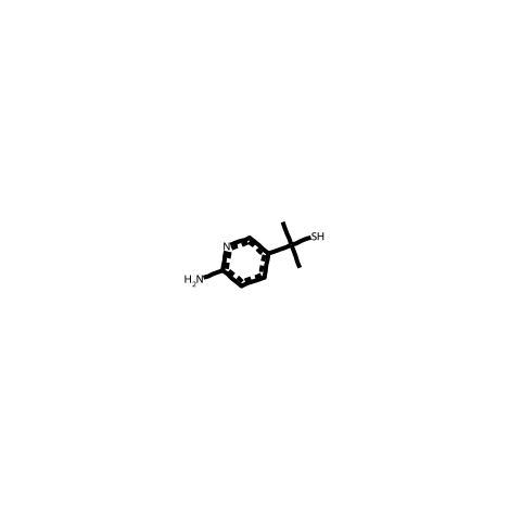 CC(C)(S)c1ccc(N)nc1